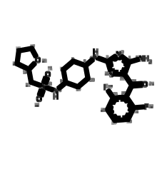 Nc1nc(NC2CCC(NS(=O)(=O)CC3CCCO3)CC2)sc1C(=O)c1c(F)cccc1F